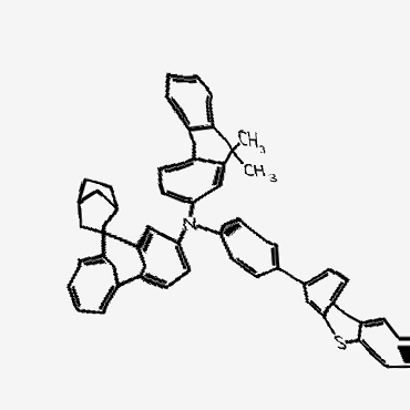 CC1(C)c2ccccc2-c2ccc(N(c3ccc(-c4ccc5c(c4)sc4ccccc45)cc3)c3ccc4c(c3)C3(CC5CCC3C5)c3ccccc3-4)cc21